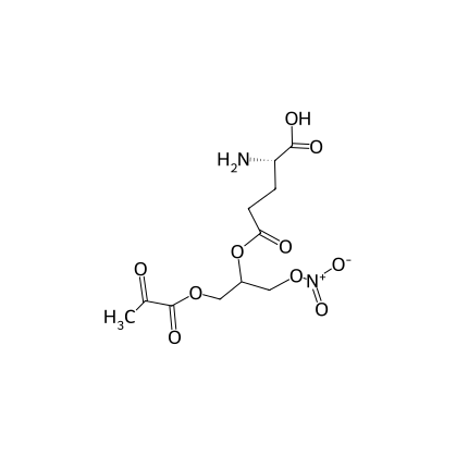 CC(=O)C(=O)OCC(CO[N+](=O)[O-])OC(=O)CC[C@H](N)C(=O)O